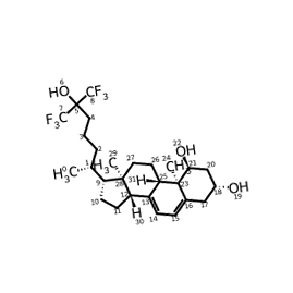 C[C@H](CCCC(O)(C(F)(F)F)C(F)(F)F)[C@H]1CC[C@H]2C3=CC=C4C[C@@H](O)C[C@H](O)[C@]4(C)[C@H]3CC[C@]12C